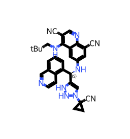 CC(C)(C)CNc1c(C#N)cnc2c(C#N)cc(N[C@H](C3=CN(C4(C#N)CC4)NN3)c3cccc4cnccc34)cc12